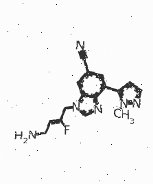 Cn1nccc1-c1cc(C#N)cc2c1ncn2C/C(F)=C/CN